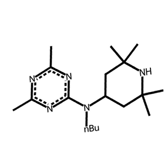 CCCCN(c1nc(C)nc(C)n1)C1CC(C)(C)NC(C)(C)C1